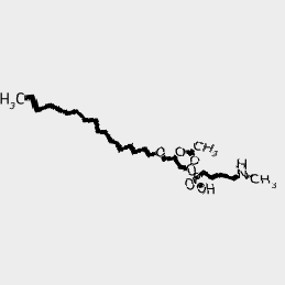 CCCCCCCCCCCCCCCCCOCC(COP(=O)(O)CCCCNC)OC(C)=O